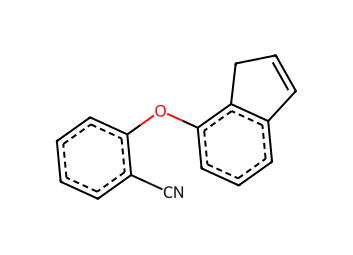 N#Cc1ccccc1Oc1cccc2c1CC=C2